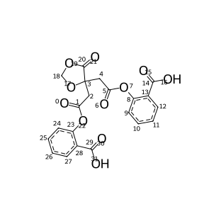 O=C(CC1(CC(=O)Oc2ccccc2C(=O)O)OCOC1=O)Oc1ccccc1C(=O)O